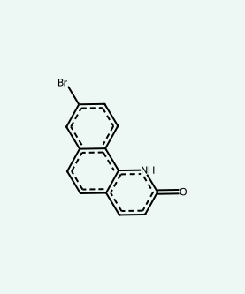 O=c1ccc2ccc3cc(Br)ccc3c2[nH]1